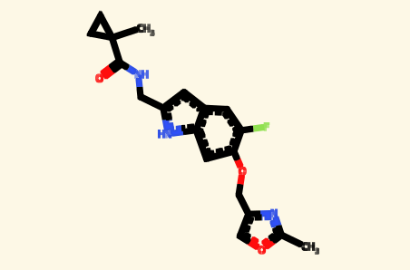 Cc1nc(COc2cc3[nH]c(CNC(=O)C4(C)CC4)cc3cc2F)co1